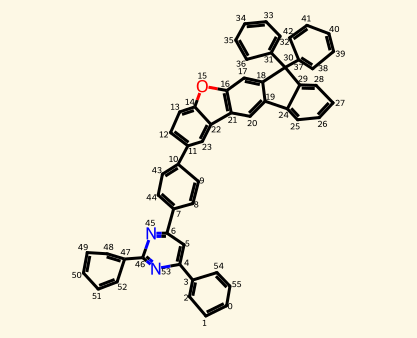 c1ccc(-c2cc(-c3ccc(-c4ccc5oc6cc7c(cc6c5c4)-c4ccccc4C7(c4ccccc4)c4ccccc4)cc3)nc(-c3ccccc3)n2)cc1